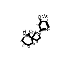 COc1ccnc(N2CCC3(CCCCNC3=O)C2)c1